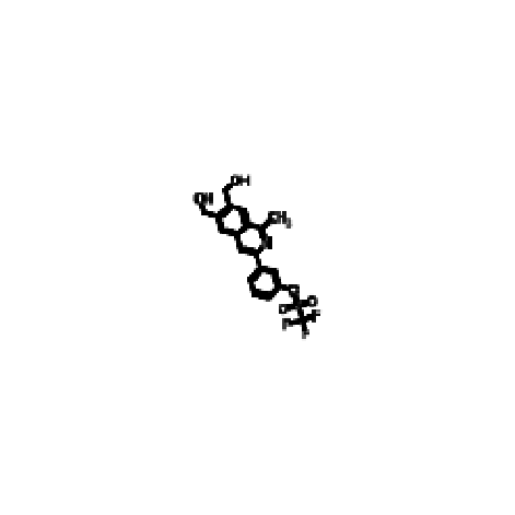 Cc1nc(-c2cccc(OS(=O)(=O)C(F)(F)F)c2)cc2cc(CO)c(CO)cc12